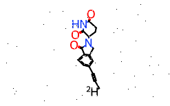 [2H]CC#Cc1ccc2c(c1)CN(C1CCC(=O)NC1=O)C2=O